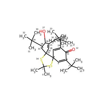 CC1(C)SC2(C=C(C(C)(C)C)C(=O)C(C(C)(C)C)=C2)C2(C=C(C(C)(C)C)C(O)C(C(C)(C)C)=C2)S1